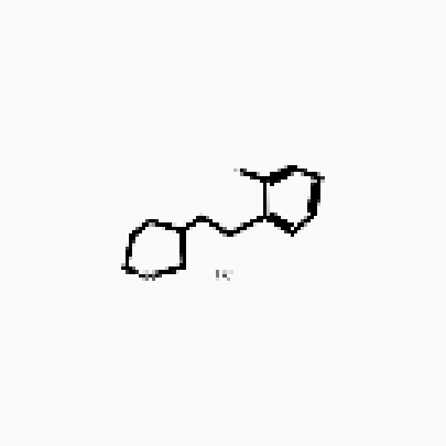 Cl.Fc1ccccc1CCC1CCCNC1